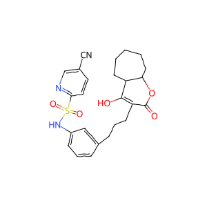 N#Cc1ccc(S(=O)(=O)Nc2cccc(CCCC3=C(O)C4CCCCCC4OC3=O)c2)nc1